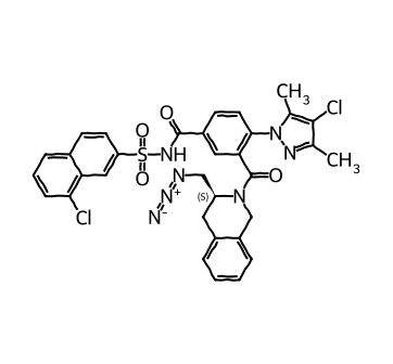 Cc1nn(-c2ccc(C(=O)NS(=O)(=O)c3ccc4cccc(Cl)c4c3)cc2C(=O)N2Cc3ccccc3C[C@H]2CN=[N+]=[N-])c(C)c1Cl